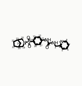 O=C(NCc1ccccn1)Nc1ccc(S(=O)(=O)N2CC3CCC(C3)C2)cc1